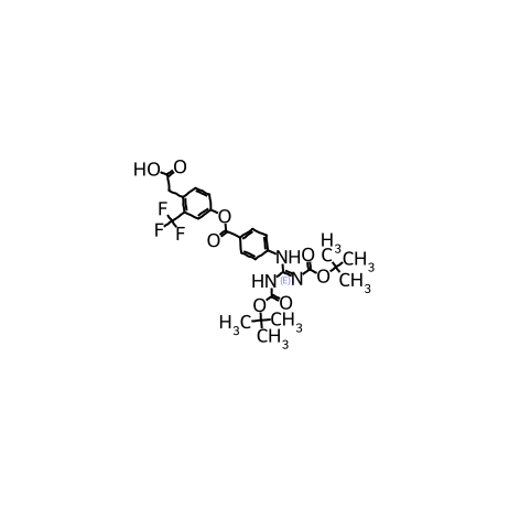 CC(C)(C)OC(=O)/N=C(/NC(=O)OC(C)(C)C)Nc1ccc(C(=O)Oc2ccc(CC(=O)O)c(C(F)(F)F)c2)cc1